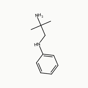 CC(C)(N)CNc1ccccc1